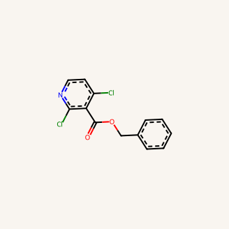 O=C(OCc1ccccc1)c1c(Cl)ccnc1Cl